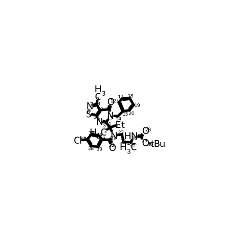 CCC(C)(c1nc2snc(C)c2c(=O)n1Cc1ccccc1)N(CCC(C)NC(=O)OC(C)(C)C)C(=O)c1ccc(Cl)cc1